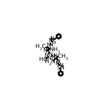 Cc1nn(-c2nc(O)nc(-n3nc(C)c(N=Nc4nnc(-c5ccccc5)s4)c3N)n2)c(N)c1N=Nc1nnc(-c2ccccc2)s1